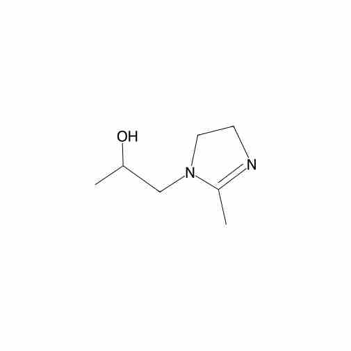 CC1=NCCN1CC(C)O